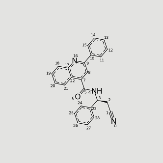 N#CC[C@H](NC(=O)c1cc(-c2ccccc2)nc2ccccc12)c1ccccc1